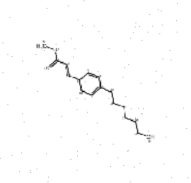 COC(=O)C=CC1C=CC(CCCCCCO)=CC1